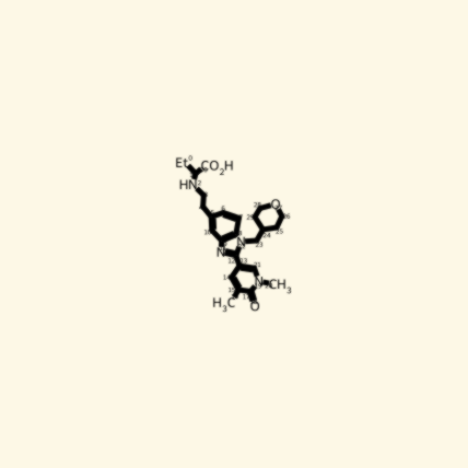 CCC(NCCc1ccc2c(c1)nc(-c1cc(C)c(=O)n(C)c1)n2CC1CCOCC1)C(=O)O